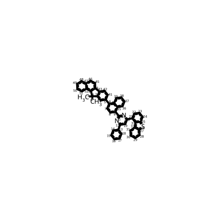 CC1(C)c2cc(-c3ccc(-c4nc(-c5ccccc5)cc(-c5cccc6sc7ccccc7c56)n4)c4ccccc34)ccc2-c2ccc3ccccc3c21